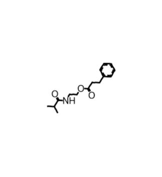 CC(C)C(=O)NCCOC(=O)CCc1ccccc1